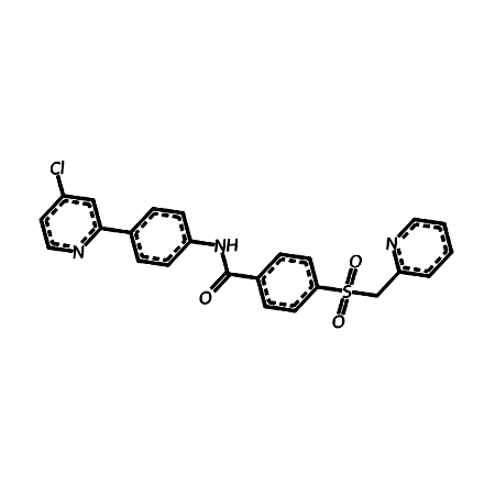 O=C(Nc1ccc(-c2cc(Cl)ccn2)cc1)c1ccc(S(=O)(=O)Cc2ccccn2)cc1